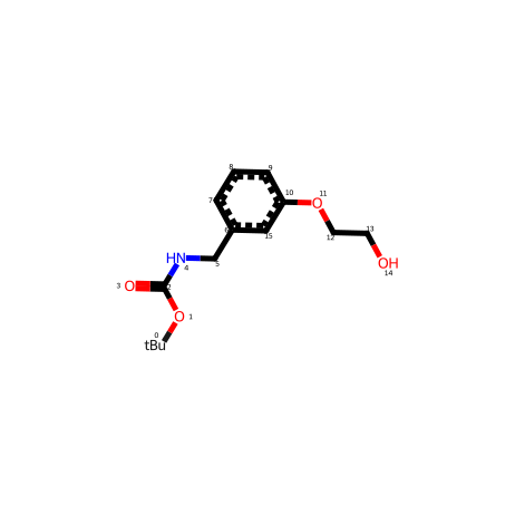 CC(C)(C)OC(=O)NCc1cccc(OCCO)c1